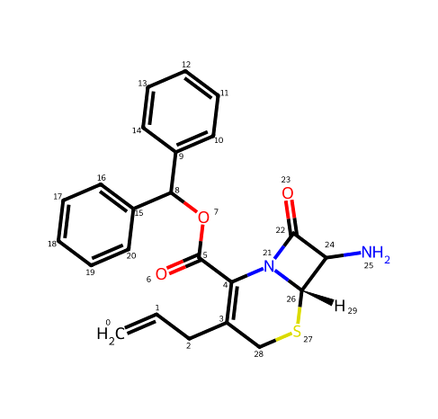 C=CCC1=C(C(=O)OC(c2ccccc2)c2ccccc2)N2C(=O)C(N)[C@@H]2SC1